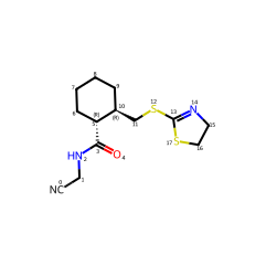 N#CCNC(=O)[C@@H]1CCCC[C@H]1CSC1=NCCS1